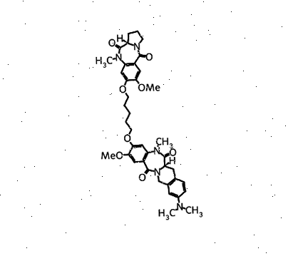 COc1cc2c(cc1OCCCCCOc1cc3c(cc1OC)C(=O)N1Cc4cc(N(C)C)ccc4C[C@H]1C(=O)N3C)N(C)C(=O)[C@@H]1CCCN1C2=O